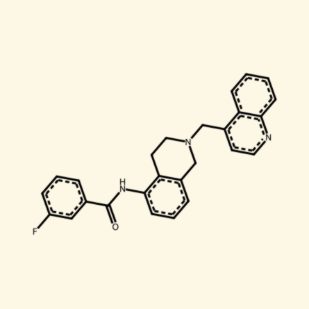 O=C(Nc1cccc2c1CCN(Cc1ccnc3ccccc13)C2)c1cccc(F)c1